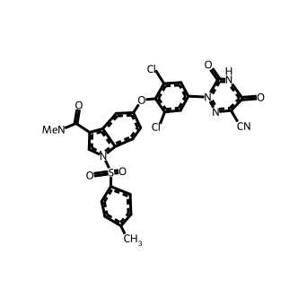 CNC(=O)c1cn(S(=O)(=O)c2ccc(C)cc2)c2ccc(Oc3c(Cl)cc(-n4nc(C#N)c(=O)[nH]c4=O)cc3Cl)cc12